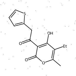 CCc1c(C)oc(=O)c(C(=O)Cc2cccs2)c1O